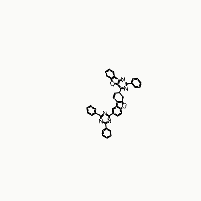 C1=CC(c2nc(-c3ccccc3)nc3c2oc2ccccc23)Cc2oc3ccc(-c4nc(-c5ccccc5)nc(-c5ccccc5)n4)cc3c21